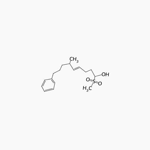 CC(/C=C/CCC(O)S(C)(=O)=O)CCCc1ccccc1